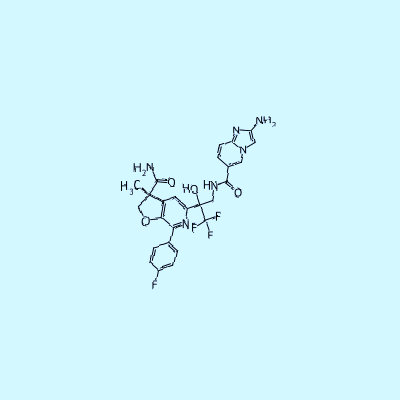 C[C@]1(C(N)=O)COc2c1cc(C(O)(CNC(=O)c1ccc3nc(N)cn3c1)C(F)(F)F)nc2-c1ccc(F)cc1